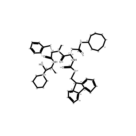 C[C@H](NC(=O)[C@H](Cc1ccccc1)N(C)C(=O)[C@H](CC(=O)OC1CCCCCCC1)NC(=O)OCC1c2ccccc2-c2ccccc21)C(O)N1CCCCC1